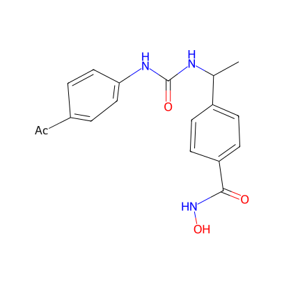 CC(=O)c1ccc(NC(=O)NC(C)c2ccc(C(=O)NO)cc2)cc1